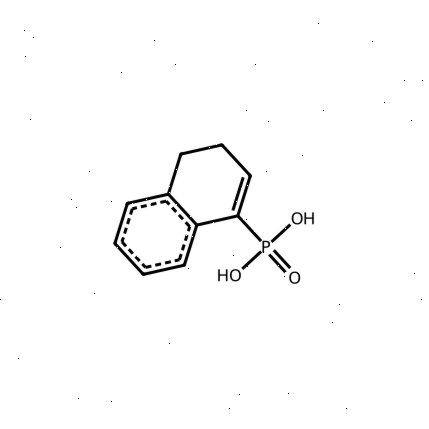 O=P(O)(O)C1=CCCc2ccccc21